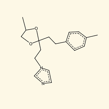 Cc1ccc(CCC2(CCn3ccnc3)OCC(C)O2)cc1